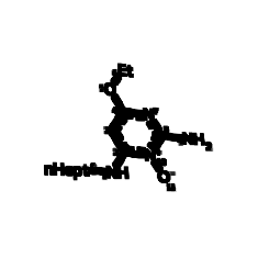 CCCCCCCNc1cc(OCC)nc(N)[n+]1[O-]